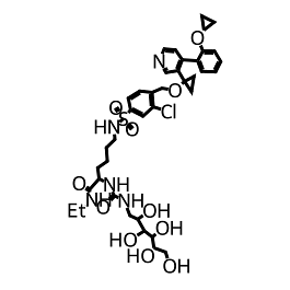 CCNC(=O)C(CCCCNS(=O)(=O)c1ccc(COC2(c3cnccc3-c3ccccc3OC3CC3)CC2)c(Cl)c1)NC(=O)NCC(O)C(O)C(O)C(O)CO